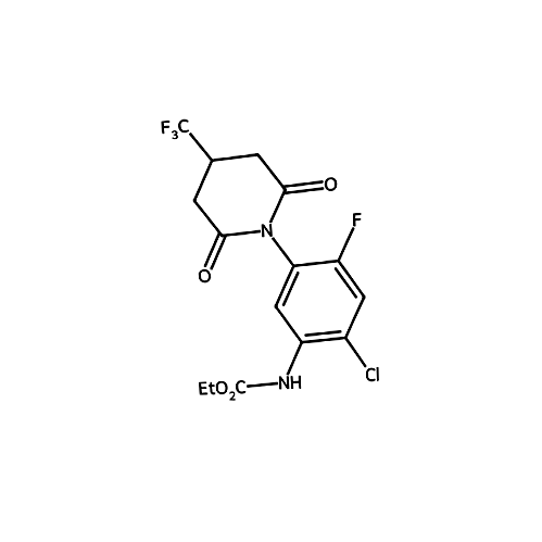 CCOC(=O)Nc1cc(N2C(=O)CC(C(F)(F)F)CC2=O)c(F)cc1Cl